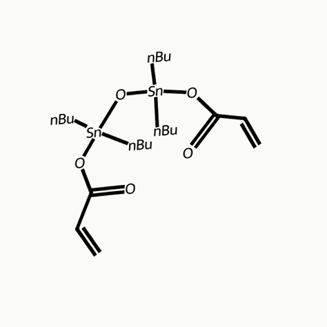 C=CC(=O)[O][Sn]([CH2]CCC)([CH2]CCC)[O][Sn]([CH2]CCC)([CH2]CCC)[O]C(=O)C=C